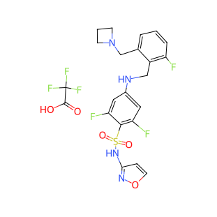 O=C(O)C(F)(F)F.O=S(=O)(Nc1ccon1)c1c(F)cc(NCc2c(F)cccc2CN2CCC2)cc1F